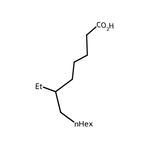 CCCCCCCC(CC)CCCCC(=O)O